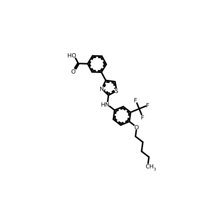 CCCCCOc1ccc(Nc2nc(-c3cccc(C(=O)O)c3)cs2)cc1C(F)(F)F